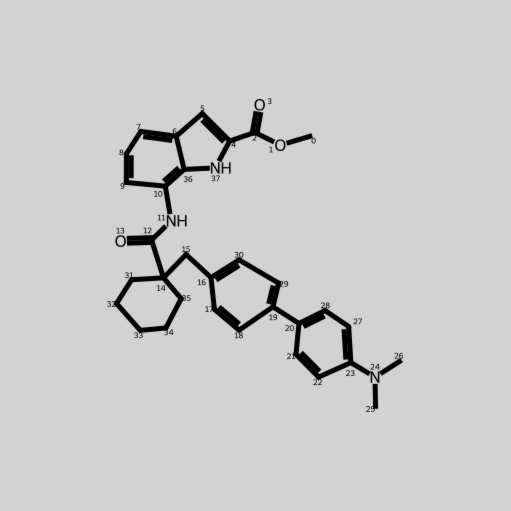 COC(=O)c1cc2cccc(NC(=O)C3(Cc4ccc(-c5ccc(N(C)C)cc5)cc4)CCCCC3)c2[nH]1